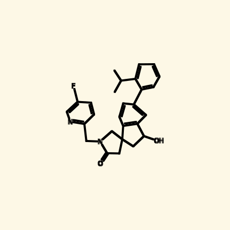 CC(C)c1ccccc1-c1ccc2c(c1)C(O)CC21CC(=O)N(Cc2ccc(F)cn2)C1